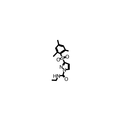 CCNC(=O)n1ccc(S(=O)(=O)c2c(C)cc(C)cc2C)n1